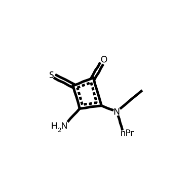 CCCN(C)c1c(N)c(=S)c1=O